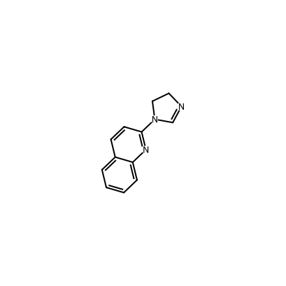 C1=NCCN1c1ccc2ccccc2n1